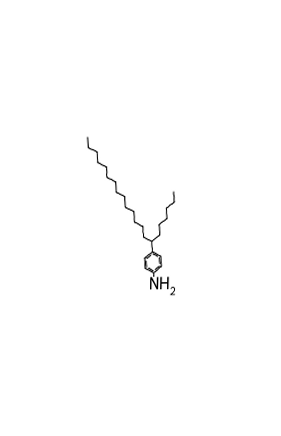 CCCCCCCCCCCCCCC(CCCCCC)c1ccc(N)cc1